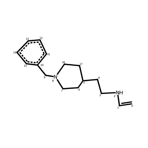 C=CNCCC1CCN(Cc2ccccc2)CC1